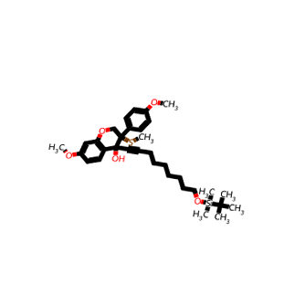 COc1ccc(C2(SC)COc3cc(OC)ccc3C2(O)C#CCCCCCCCO[Si](C)(C)C(C)(C)C)cc1